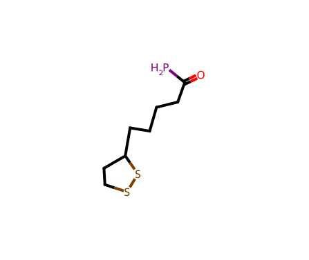 O=C(P)CCCCC1CCSS1